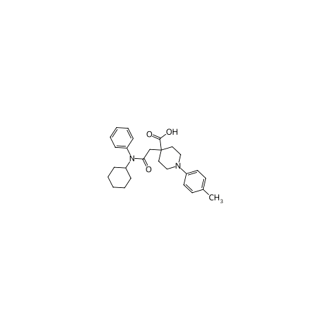 Cc1ccc(N2CCC(CC(=O)N(c3ccccc3)C3CCCCC3)(C(=O)O)CC2)cc1